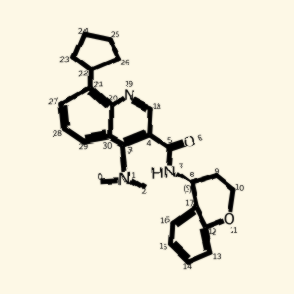 CN(C)c1c(C(=O)N[C@H]2CCOc3ccccc32)cnc2c(C3CCCC3)cccc12